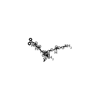 CCSSC[C@H](NC(=O)[C@H](CCCCNC(=O)CONC(=O)OCC1c2ccccc2-c2ccccc21)NC(=O)COCCOCCNC(=O)COCCOCCN)C(N)=O